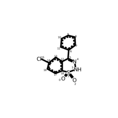 O=S1(=O)NN=C(c2ccccc2)c2cc(Cl)ccc21